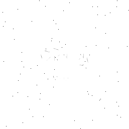 COC1CC(c2nccnc2C2CN(c3ccc4ccccc4n3)C2)C1